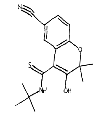 CC(C)(C)NC(=S)C1=C(O)C(C)(C)Oc2ccc(C#N)cc21